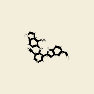 Cc1c(Nc2c(C#N)cncc2-c2cc3cc(C=O)ccc3s2)ccc2[nH]ccc12